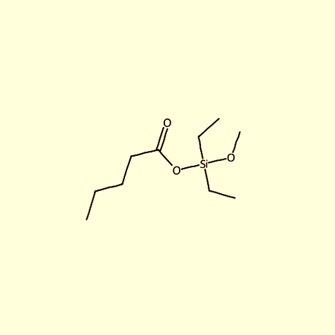 CCCCC(=O)O[Si](CC)(CC)OC